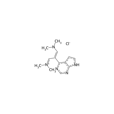 CN(C)/C=C(\C=[N+](C)C)c1ncnc2[nH]ccc12.[Cl-]